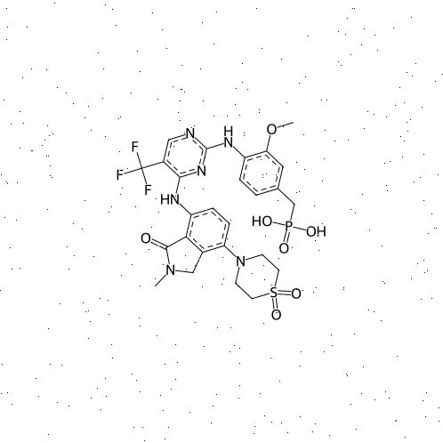 COc1cc(CP(=O)(O)O)ccc1Nc1ncc(C(F)(F)F)c(Nc2ccc(N3CCS(=O)(=O)CC3)c3c2C(=O)N(C)C3)n1